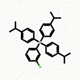 CC(C)c1ccc([Si](c2ccc(C(C)C)cc2)(c2ccc(C(C)C)cc2)c2cccc(Br)c2)cc1